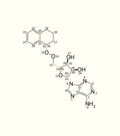 Nc1ncnc2c1ncn2[C@@H]1O[C@H](COO[C@H]2CCCc3ccccc32)[C@@H](O)[C@H]1O